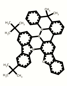 CC(C)(C)c1ccc2c(c1)c1cc(C(C)(C)C)cc3c1n2-c1c2c(cc4c1oc1ccccc14)-c1cccc4c1N(B23)c1ccccc1C4(C)C